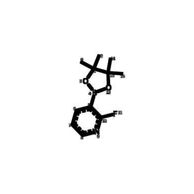 CC1(C)OB(c2cccnc2F)OC1(C)C